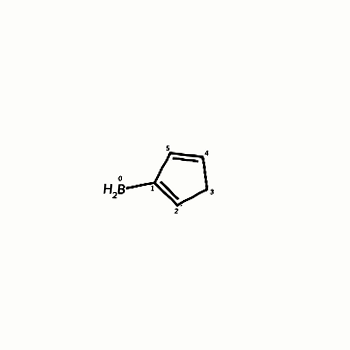 BC1=[C]CC=C1